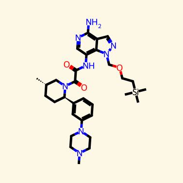 C[C@H]1CC[C@H](c2cccc(N3CCN(C)CC3)c2)N(C(=O)C(=O)Nc2cnc(N)c3cnn(COCC[Si](C)(C)C)c23)C1